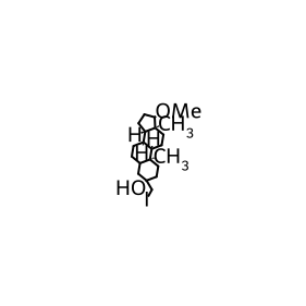 COC1CC[C@H]2[C@@H]3CCC4CC(O)(CI)CC[C@]4(C)[C@@H]3CC[C@]12C